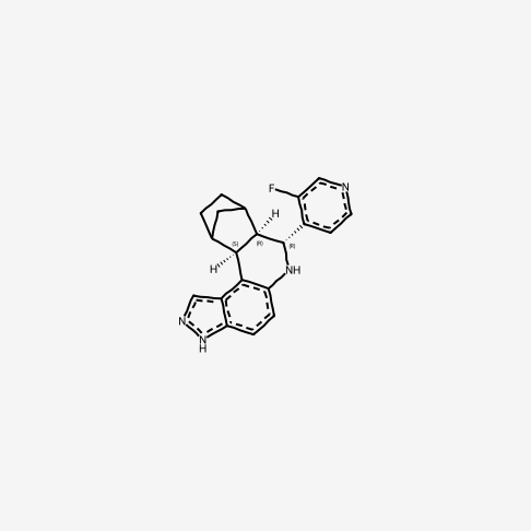 Fc1cnccc1[C@@H]1Nc2ccc3[nH]ncc3c2[C@H]2C3CCC(C3)[C@@H]12